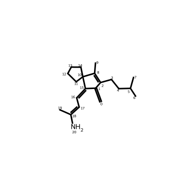 C=C1C(CCC(C)C)=C(C)C2(CCCC2)/C1=C/C=C(\C)N